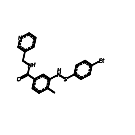 CCc1ccc(SNc2cc(C(=O)NCc3cccnc3)ccc2C)cc1